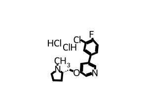 CN1CCC[C@H]1COc1cncc(-c2ccc(F)c(Cl)c2)c1.Cl.Cl